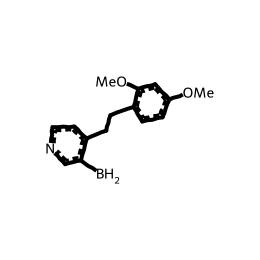 Bc1cnccc1CCc1ccc(OC)cc1OC